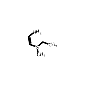 CCN(C)/C=C\N